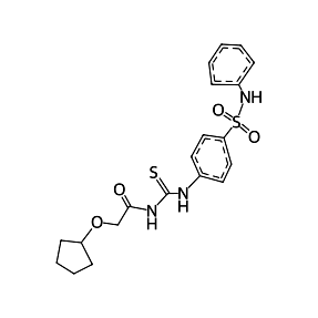 O=C(COC1CCCC1)NC(=S)Nc1ccc(S(=O)(=O)Nc2ccccc2)cc1